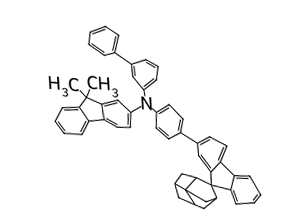 CC1(C)c2ccccc2-c2ccc(N(c3ccc(-c4ccc5c(c4)C4(c6ccccc6-5)C5CC6CC(C5)CC4C6)cc3)c3cccc(-c4ccccc4)c3)cc21